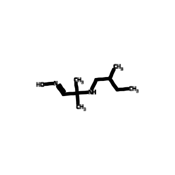 CCC(C)CNC(C)(C)/C=N/O